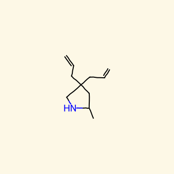 C=CCC1(CC=C)CNC(C)C1